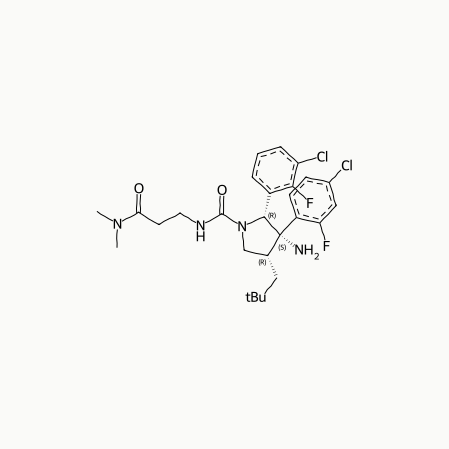 CN(C)C(=O)CCNC(=O)N1C[C@@H](CC(C)(C)C)[C@](N)(c2ccc(Cl)cc2F)[C@H]1c1cccc(Cl)c1F